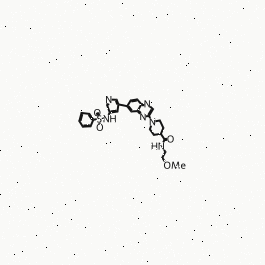 COCCNC(=O)C1CCN(c2cnc3ccc(-c4cncc(NS(=O)(=O)c5ccccc5)c4)cc3n2)CC1